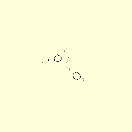 CN(C)C(=O)Oc1cccc(C(CCOc2ccc(C(F)(F)F)cc2)N(C)C(=O)OC(C)(C)C)c1